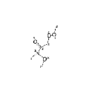 COOCC(=O)N(C)OC